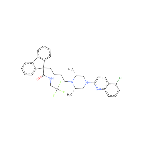 C[C@@H]1CN(c2ccc3c(Cl)cccc3n2)C[C@H](C)N1CCCCC1(C(=O)NCC(F)(F)F)c2ccccc2-c2ccccc21